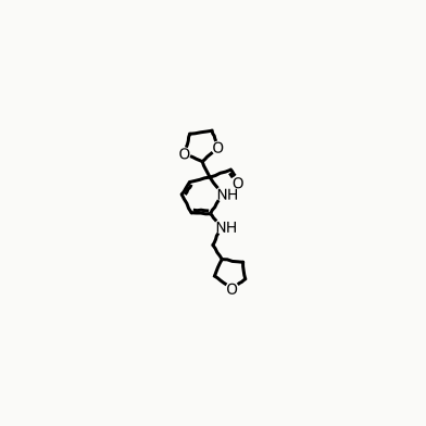 O=CC1(C2OCCO2)C=CC=C(NCC2CCOC2)N1